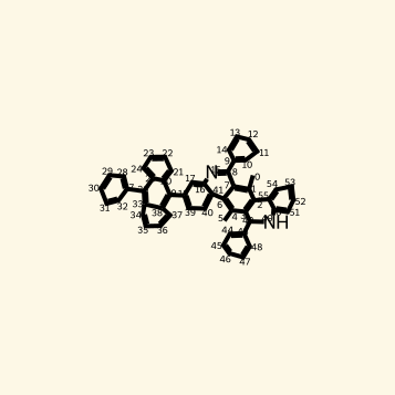 Cc1c2c(c(C)c3c1c(-c1ccccc1)nc1cc(-c4c5ccccc5c(-c5ccccc5)c5ccccc45)ccc13)C(c1ccccc1)Nc1ccccc1-2